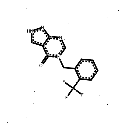 O=c1c2c[nH]nc2ncn1Cc1ccccc1C(F)(F)F